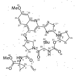 C=C[C@@H]1C[C@]1(NC(=O)[C@@H]1C[C@@H](Oc2cc(-c3csc(N)n3)nc3cc(OC)ccc23)CN1C(=O)[C@@H](NC(=O)OC1CCCC1)C(C)(C)C)C(=O)OC